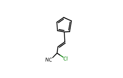 N#CC(Cl)C=Cc1ccccc1